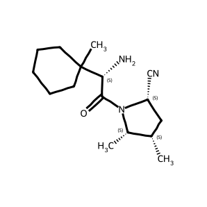 C[C@H]1C[C@@H](C#N)N(C(=O)[C@@H](N)C2(C)CCCCC2)[C@H]1C